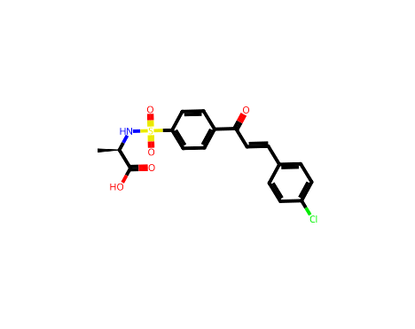 C[C@@H](NS(=O)(=O)c1ccc(C(=O)/C=C/c2ccc(Cl)cc2)cc1)C(=O)O